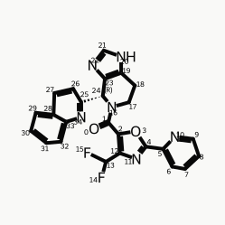 O=C(c1oc(-c2ccccn2)nc1C(F)F)N1CCc2[nH]cnc2[C@H]1c1ccc2ccccc2n1